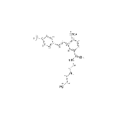 COc1ccc(C(=O)NCCOCCO)cc1/C=C/c1ccc(C(F)(F)F)cc1